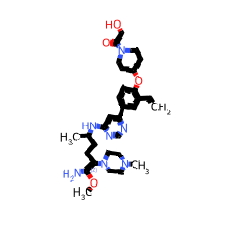 C=Cc1cc(-c2cc(NC(C)CC/C(=C(\N)OC)N3CCN(C)CC3)ncn2)ccc1OC1CCN(C(=O)CO)CC1